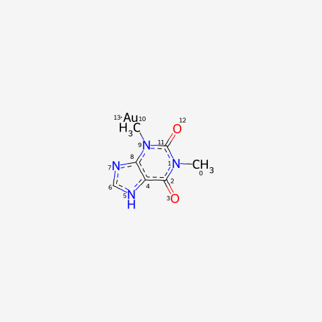 Cn1c(=O)c2[nH]cnc2n(C)c1=O.[Au]